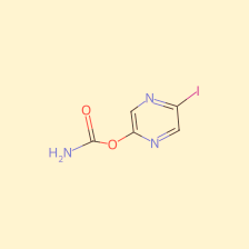 NC(=O)Oc1cnc(I)cn1